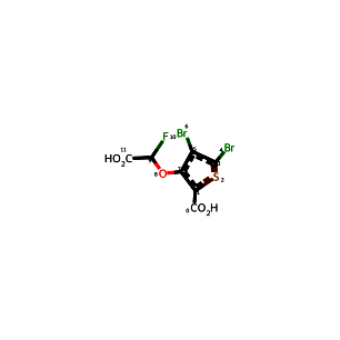 O=C(O)c1sc(Br)c(Br)c1OC(F)C(=O)O